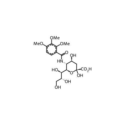 COc1ccc(C(=O)N[C@H]2[C@H]([C@H](O)[C@H](O)CO)O[C@](O)(C(=O)O)C[C@@H]2O)c(OC)c1OC